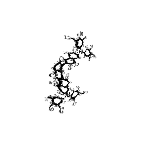 Cc1cc(N(c2cc(C)c(C)c(C)c2)c2ccc3c(ccc4c3oc3ccc5oc6c7ccc(N(c8cc(C)c(C)c(C)c8)c8cc(C)c(C)c(C)c8)cc7ccc6c5c34)c2)cc(C)c1C